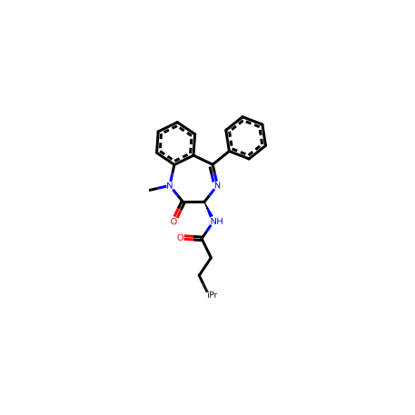 CC(C)CCC(=O)N[C@@H]1N=C(c2ccccc2)c2ccccc2N(C)C1=O